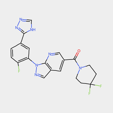 O=C(c1cnc2c(cnn2-c2cc(-c3nnc[nH]3)ccc2F)c1)N1CCC(F)(F)CC1